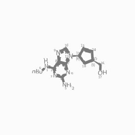 CCCCNc1nc(N)nc2c1ncn2[C@H]1C=C[C@@H](CO)C1